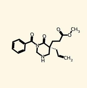 C=CC[C@]1(CCC(=O)OC)CNCN(C(=O)c2ccccc2)C1=O